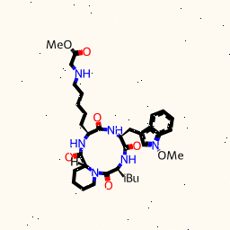 CCC(C)[C@@H]1NC(=O)[C@H](Cc2cn(OC)c3ccccc23)NC(=O)[C@H](CCCCCNCC(=O)OC)NC(=O)[C@H]2CCCCN2C1=O